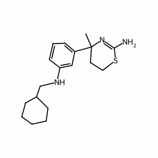 CC1(c2cccc(NCC3CCCCC3)c2)CCSC(N)=N1